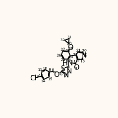 O=C(Nc1nnc(OCc2ccc(Cl)cc2)s1)c1cnccc1-c1ccccc1OC1CC1